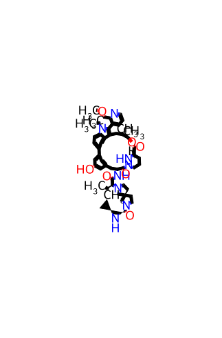 CCn1c(-c2cccnc2[C@H](C)OC)c2c3cc(ccc31)-c1cc(O)cc(c1)C[C@H](NC(=O)[C@H](C(C)C)N1CC[C@]3(CCN(C(=O)[C@@H]4N[C@@H]4C4CC4)C3)C1)C(=O)N1CCC[C@H](N1)C(=O)OCC(C)(C)C2